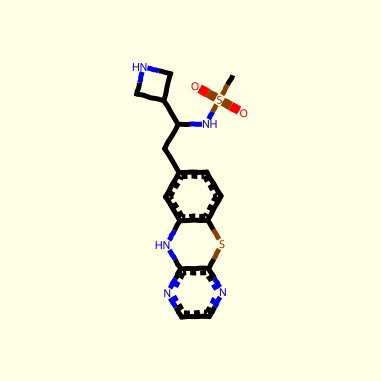 CS(=O)(=O)NC(Cc1ccc2c(c1)Nc1nccnc1S2)C1CNC1